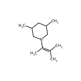 CC(C)=C(C)N1CC(C)CC(C)C1